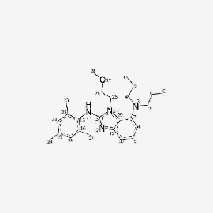 CCCN(CCC)c1cccc2nc(Nc3c(C)cc(C)cc3C)n(CCOC)c12